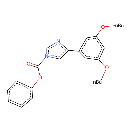 CCCCOc1cc(OCCCC)cc(-c2cn(C(=O)Oc3ccccc3)cn2)c1